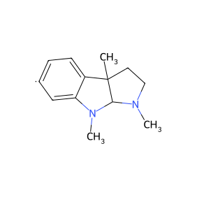 CN1CCC2(C)c3cc[c]cc3N(C)C12